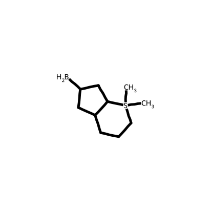 BC1CC2CCCS(C)(C)C2C1